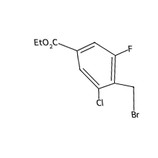 CCOC(=O)c1cc(F)c(CBr)c(Cl)c1